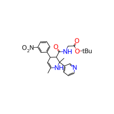 CC1=CC(c2cccc([N+](=O)[O-])c2)C(C(=O)NCC(=O)OC(C)(C)C)C(C)(c2cccnc2)N1